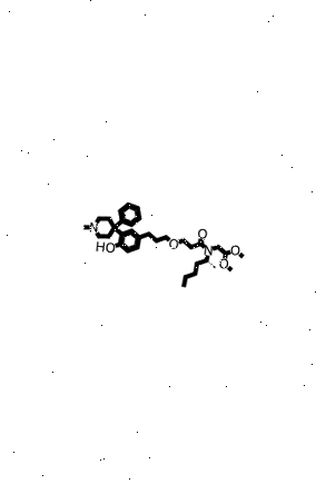 CCCC[C@@H](C)N(CC(OC)OC)C(=O)CCOCCCc1ccc(O)c(C2(c3ccccc3)CCN(C)CC2)c1